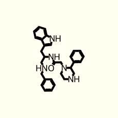 O=C(CN1CCNCC1c1ccccc1)NC(CNCc1ccccc1)Cc1c[nH]c2ccccc12